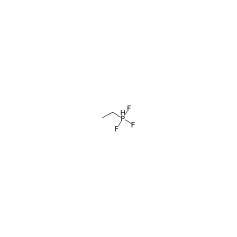 CC[PH](F)(F)F